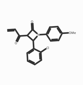 C=CC(=O)C1C(=O)N(c2ccc(OC)cc2)C1c1ccccc1Cl